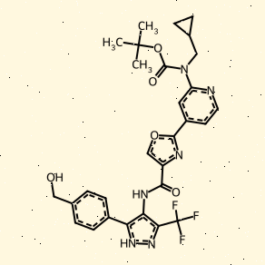 CC(C)(C)OC(=O)N(CC1CC1)c1cc(-c2nc(C(=O)Nc3c(C(F)(F)F)n[nH]c3-c3ccc(CO)cc3)co2)ccn1